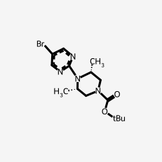 C[C@@H]1CN(C(=O)OC(C)(C)C)C[C@H](C)N1c1ncc(Br)cn1